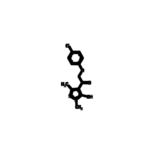 Cc1nn(C)c(O)c1C(=O)COc1ccc(Cl)cc1